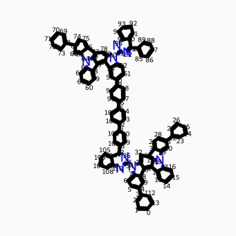 c1ccc(-c2ccc3c(c2)c2c4c5ccccc5n5c6cc(-c7ccccc7)ccc6c(cc2n3-c2nc(-c3ccc(-c6ccc(-c7ccc(-c8ccc9c(c8)c8c%10c%11ccccc%11n%11c%12cc(-c%13ccccc%13)ccc%12c(cc8n9-c8nc(-c9ccccc9)c9ccccc9n8)c%10%11)cc7)cc6)cc3)c3ccccc3n2)c45)cc1